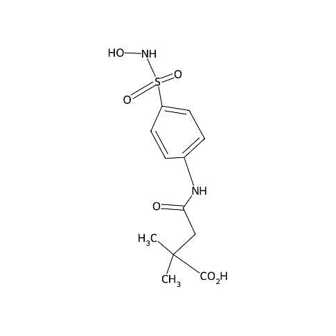 CC(C)(CC(=O)Nc1ccc(S(=O)(=O)NO)cc1)C(=O)O